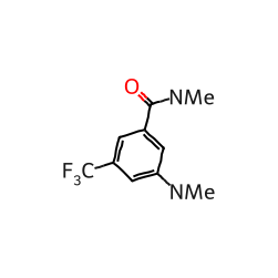 CNC(=O)c1cc(NC)cc(C(F)(F)F)c1